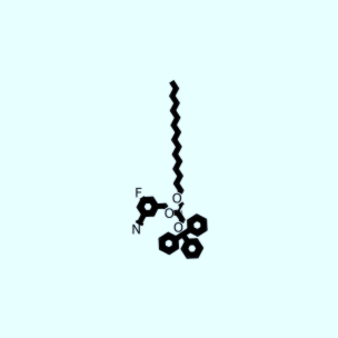 CCCCCCCCCCCCCCCCOC[C@@H](COC(c1ccccc1)(c1ccccc1)c1ccccc1)OCc1cc(F)cc(C#N)c1